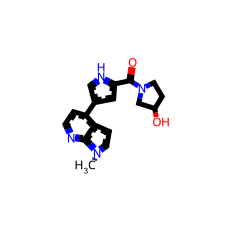 Cn1ccc2c(-c3c[nH]c(C(=O)N4CCC(O)C4)c3)ccnc21